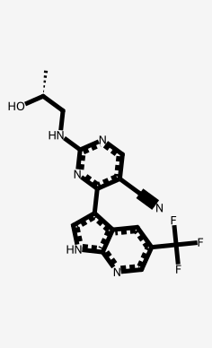 C[C@@H](O)CNc1ncc(C#N)c(-c2c[nH]c3ncc(C(F)(F)F)cc23)n1